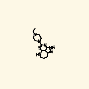 CCN1CCN(c2nc3c4c(n[nH]c4n2)CCCN3)CC1